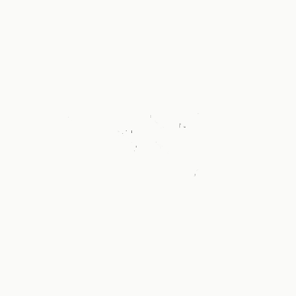 CCCCn1cc(-c2ccccc2C(F)(F)F)cc(C(=O)NCc2ccccc2)c1=O